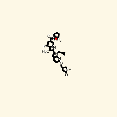 Cc1c(-c2cc3ccc(OCC4CNC(=O)C4)nc3n2CC2CC2)nn2cc(C(=O)N3CC4CCC3[C@@H]4N)cc(F)c12